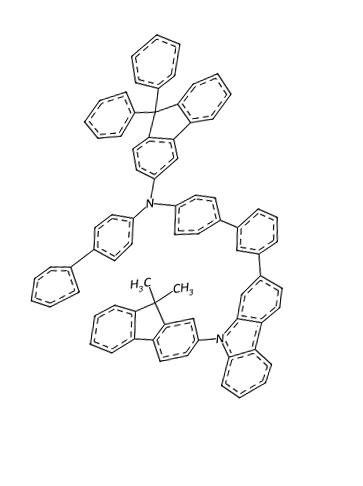 CC1(C)c2ccccc2-c2ccc(-n3c4ccccc4c4ccc(-c5cccc(-c6ccc(N(c7ccc(-c8ccccc8)cc7)c7ccc8c(c7)-c7ccccc7C8(c7ccccc7)c7ccccc7)cc6)c5)cc43)cc21